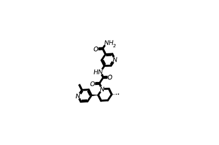 Cc1cc([C@@H]2CC[C@@H](C)CN2C(=O)C(=O)Nc2cncc(C(N)=O)c2)ccn1